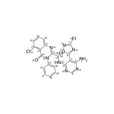 CCc1noc(-c2c(N)ncnc2N[C@@H](CC)c2nc3cccc(Cl)c3c(=O)n2-c2ccccc2)n1